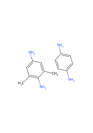 Cc1cc(N)cc(C)c1N.Nc1ccc(N)cc1